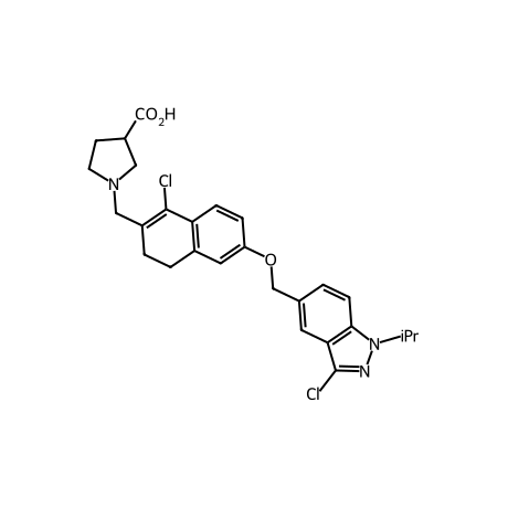 CC(C)n1nc(Cl)c2cc(COc3ccc4c(c3)CCC(CN3CCC(C(=O)O)C3)=C4Cl)ccc21